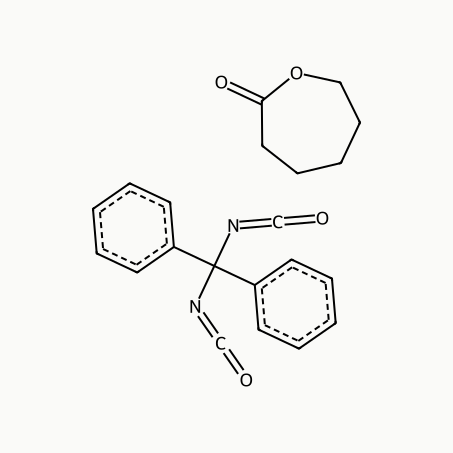 O=C1CCCCCO1.O=C=NC(N=C=O)(c1ccccc1)c1ccccc1